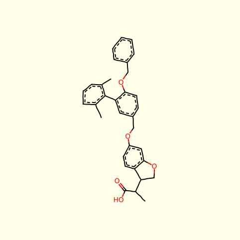 Cc1cccc(C)c1-c1cc(COc2ccc3c(c2)OCC3C(C)C(=O)O)ccc1OCc1ccccc1